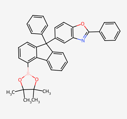 CC1(C)OB(c2cccc3c2-c2ccccc2C3(c2ccccc2)c2ccc3oc(-c4ccccc4)nc3c2)OC1(C)C